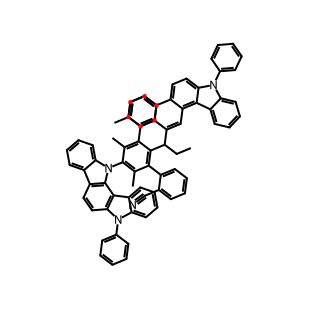 CCC(c1c(-c2ccccc2C)c(C)c(-n2c3ccccc3c3ccc4c(c5ccccc5n4-c4ccccc4)c32)c(C)c1-c1ccccc1C#N)c1cc2c(ccc3c2c2ccccc2n3-c2ccccc2)c2ccccc12